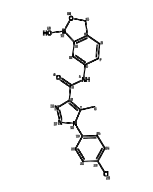 Cc1c(C(=O)Nc2ccc3c(c2)B(O)OC3)nnn1-c1ccc(Cl)cc1